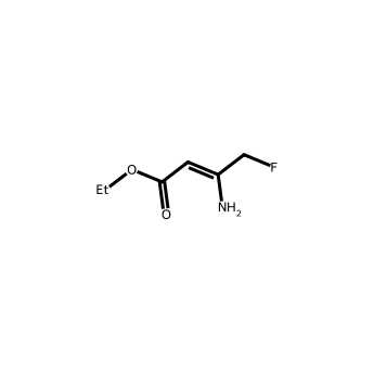 CCOC(=O)C=C(N)CF